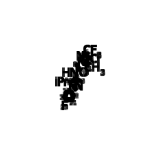 Cc1c(Cl)c(C(F)(F)F)nn1CC(=O)Nc1cnn(-c2ccc(F)cc2)c1C(C)C